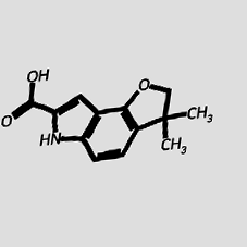 CC1(C)COc2c1ccc1[nH]c(C(=O)O)cc21